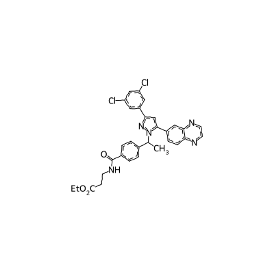 CCOC(=O)CCNC(=O)c1ccc(C(C)n2nc(-c3cc(Cl)cc(Cl)c3)cc2-c2ccc3nccnc3c2)cc1